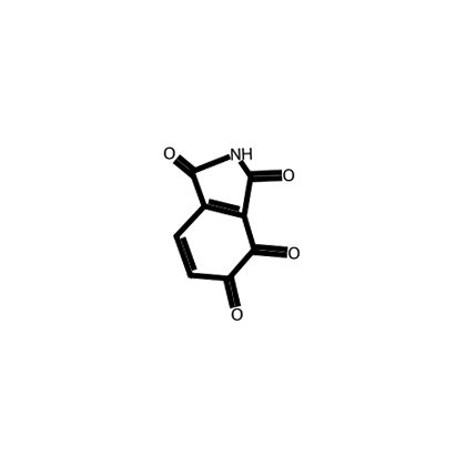 O=c1ccc2c(=O)[nH]c(=O)c=2c1=O